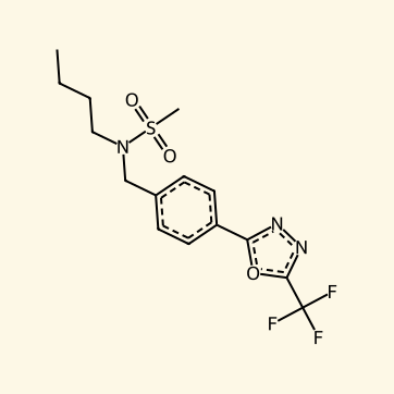 CCCCN(Cc1ccc(-c2nnc(C(F)(F)F)o2)cc1)S(C)(=O)=O